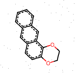 c1ccc2cc3c4c(ccc3cc2c1)OCCO4